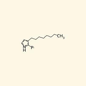 CCCCCCCCc1cc[nH]c1[P]